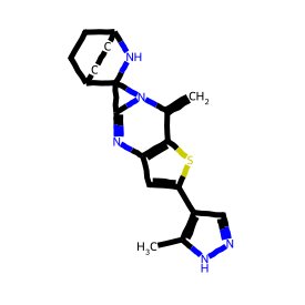 C=C1c2sc(-c3cn[nH]c3C)cc2N=C2N1C21NC2CCC1CC2